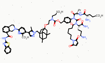 Cc1c(-c2ccc(N3CCc4cccc(C(=O)Nc5nc6ccccc6s5)c4C3)nc2C(=O)O)cnn1CC12CC3(C)CC(C)(C1)CC(OCCN(CCS(=O)(=O)O)C(=O)OCc1ccc(N(C(=O)[C@@H](NC(=O)[C@@H](N)CCC(=O)O)C(C)C)C(=O)N(C(=O)CCCCCN4C(=O)C=CC4=O)[C@@H](CCCN)C(N)=O)cc1)(C3)C2